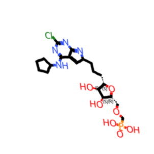 O=P(O)(O)COC[C@H]1O[C@@H](CCCC2C=c3c(NC4CCCC4)nc(Cl)nc3=N2)[C@H](O)[C@@H]1O